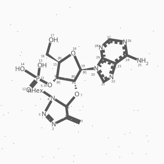 C=C1N=NN(CCCCCC)C1O[C@@H]1[C@H](OP(=O)(O)O)[C@@H](CO)O[C@H]1n1cnc2c(N)ncnc21